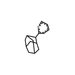 c1ccc(C2C3CC4CC(C3)CC2C4)nc1